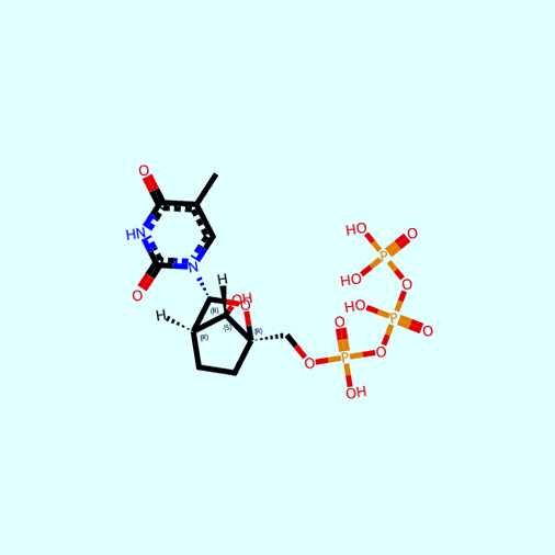 Cc1cn([C@@H]2O[C@@]3(COP(=O)(O)OP(=O)(O)OP(=O)(O)O)CC[C@@H]2[C@@H]3O)c(=O)[nH]c1=O